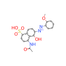 COc1ccccc1/N=N/c1ccc2c(S(=O)(=O)O)ccc(NC(C)=O)c2c1O